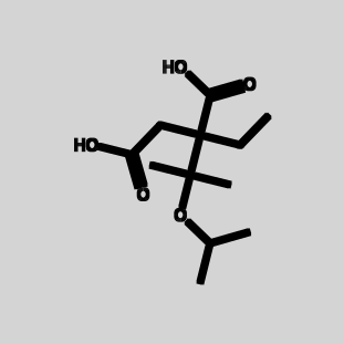 CCC(CC(=O)O)(C(=O)O)C(C)(C)OC(C)C